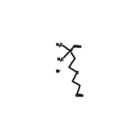 CCCCCC[N+](C)(C)CCOCCOC.[Br-]